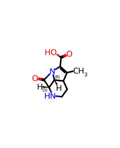 CC1=C(C(=O)O)N2C(=O)[C@H]3NCCC1[C@H]32